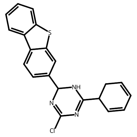 ClC1=NC(c2ccc3c(c2)sc2ccccc23)NC(C2C=CC=CC2)=N1